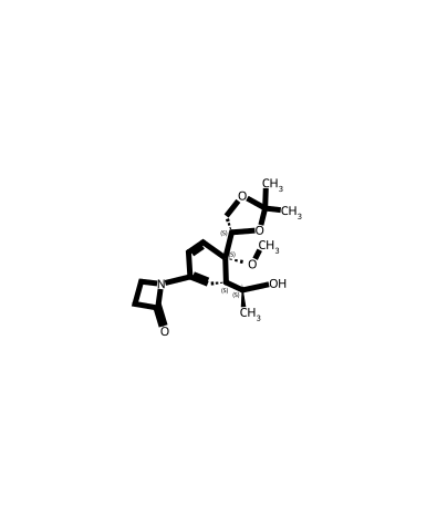 CO[C@@]1([C@@H]2COC(C)(C)O2)C=CC(N2CCC2=O)=C[C@H]1[C@H](C)O